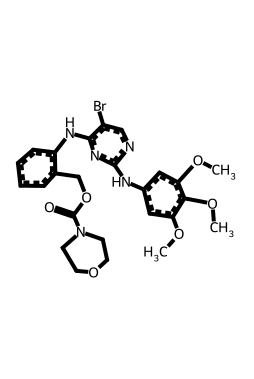 COc1cc(Nc2ncc(Br)c(Nc3ccccc3COC(=O)N3CCOCC3)n2)cc(OC)c1OC